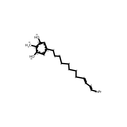 CCC/C=C/C=C/CCCCCCCCc1cc(O)c(C)c(O)c1